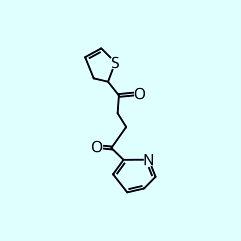 O=C(CCC(=O)C1CC=CS1)c1ccccn1